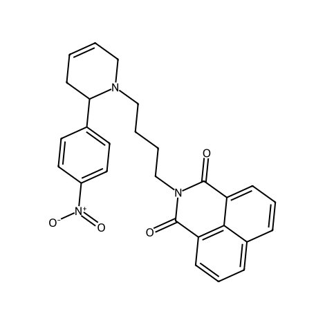 O=C1c2cccc3cccc(c23)C(=O)N1CCCCN1CC=CCC1c1ccc([N+](=O)[O-])cc1